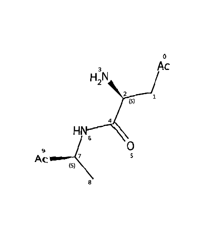 CC(=O)C[C@H](N)C(=O)N[C@@H](C)C(C)=O